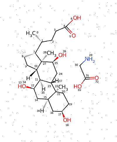 C[C@H](CCC(=O)O)[C@H]1CC[C@H]2[C@@H]3[C@H](O)C[C@@H]4C[C@H](O)CC[C@]4(C)[C@H]3C[C@H](O)[C@]12C.NCC(=O)O